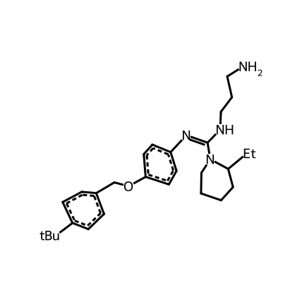 CCC1CCCCN1/C(=N\c1ccc(OCc2ccc(C(C)(C)C)cc2)cc1)NCCCN